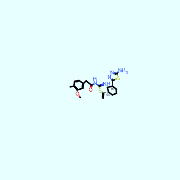 C=C(SC(=N)NC(=O)Cc1ccc(C)c(OC)c1)[C@H]1CCC[C@H](c2nnc(N)s2)C1